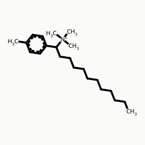 CCCCCCCCCCCC(c1ccc(C)cc1)[N+](C)(C)C